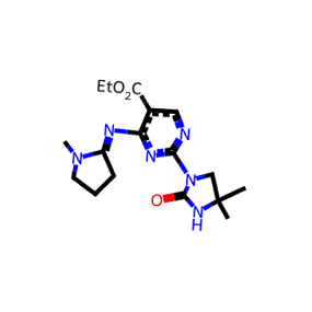 CCOC(=O)c1cnc(N2CC(C)(C)NC2=O)nc1N=C1CCCN1C